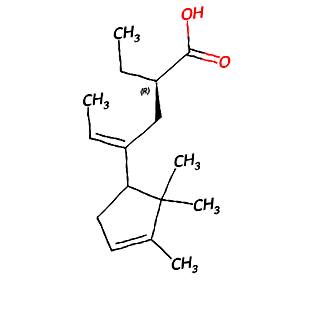 CC=C(C[C@@H](CC)C(=O)O)C1CC=C(C)C1(C)C